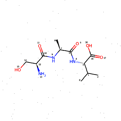 CC(C)[C@H](NC(=O)[C@H](C)NC(=O)[C@@H](N)CO)C(=O)O